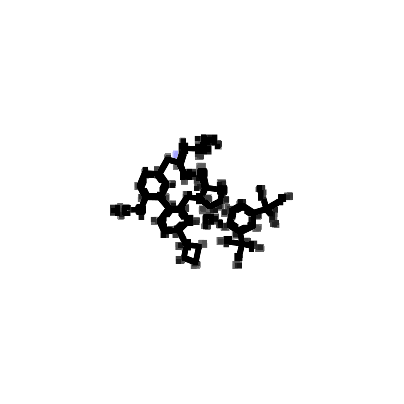 COc1ccc(C/C(N)=N/NN)cc1-c1ccc(N2CCC2)nc1CN1C(=O)O[C@H](c2cc(C(F)(F)F)cc(C(F)(F)F)c2)[C@@H]1C